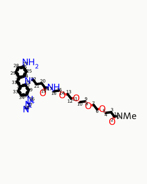 CNC(=O)CCOCCOCCOCCOCCNC(=O)CCC[n+]1c2cc(N)ccc2cc2ccc(N=[N+]=[N-])cc21